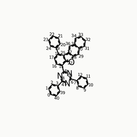 c1ccc(-c2nc(-c3ccccc3)nc(-c3ccc(-c4ccccc4)c4c3oc3cc5ccccc5cc34)n2)cc1